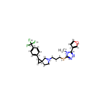 Cn1c(SCCCN2CC[C@]3(CC3c3ccc(C(F)(F)F)cc3)C2)nnc1-c1ccoc1